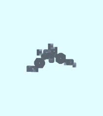 C[C@@](O)(CSc1ccc(N=C=S)cc1)C(=O)Nc1ccc([N+](=O)[O-])cc1